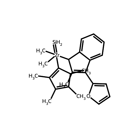 CC1=C(C)C(C)[C]([Zr]([CH3])([CH3])(=[SiH2])[CH]2C(C)=C(c3ccco3)c3ccccc32)=C1C